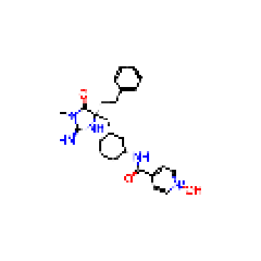 CN1C(=N)N[C@](CCc2ccccc2)(C[C@H]2CCC[C@@H](NC(=O)c3cc[n+](O)cc3)C2)C1=O